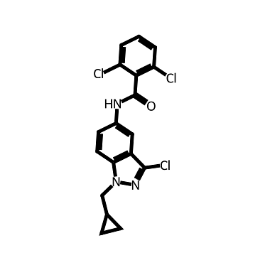 O=C(Nc1ccc2c(c1)c(Cl)nn2CC1CC1)c1c(Cl)cccc1Cl